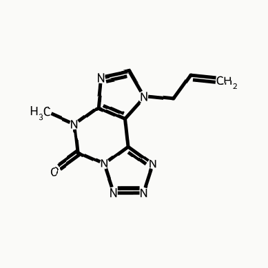 C=CCn1cnc2c1c1nnnn1c(=O)n2C